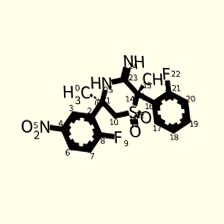 C[C@@]1(c2cc([N+](=O)[O-])ccc2F)CS(=O)(=O)[C@@](C)(c2ccccc2F)C(=N)N1